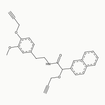 C#CCOc1ccc(CCNC(=O)C(OCC#C)c2ccc3ccccc3c2)cc1OC